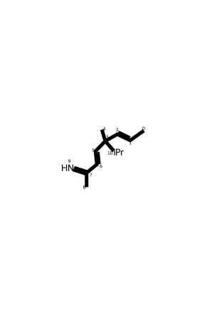 C/C=C/C(C)(/C=C/C(C)=N)C(C)C